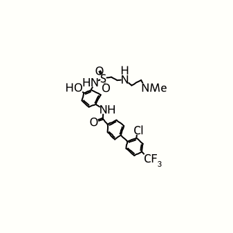 CNCCNCCS(=O)(=O)Nc1cc(NC(=O)c2ccc(-c3ccc(C(F)(F)F)cc3Cl)cc2)ccc1O